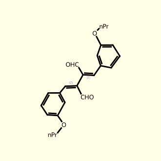 CCCOc1cccc(/C=C(C=O)/C(C=O)=C/c2cccc(OCCC)c2)c1